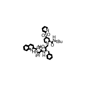 CC(C)[C@H](NC(=O)c1ccc2ccccc2n1)C(=O)N[C@@H](Cc1ccccc1)[C@H](O)CN1CC[C@@H](S(=O)(=O)c2ccccn2)C[C@H]1C(=O)NC(C)(C)C